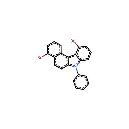 Brc1cccc2c1ccc1c2c2c(Br)cccc2n1-c1ccccc1